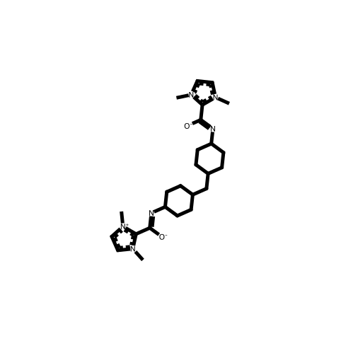 Cn1cc[n+](C)c1/C([O-])=N/C1CCC(CC2CCC(/N=C(\[O-])c3n(C)cc[n+]3C)CC2)CC1